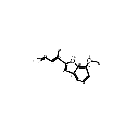 COc1cccc2cc(C(C)=CC=O)oc12